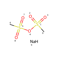 CS(=O)(=O)OS(C)(=O)=O.[NaH]